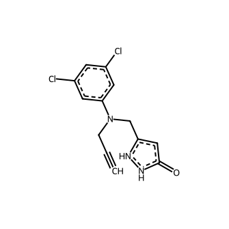 C#CCN(Cc1cc(=O)[nH][nH]1)c1cc(Cl)cc(Cl)c1